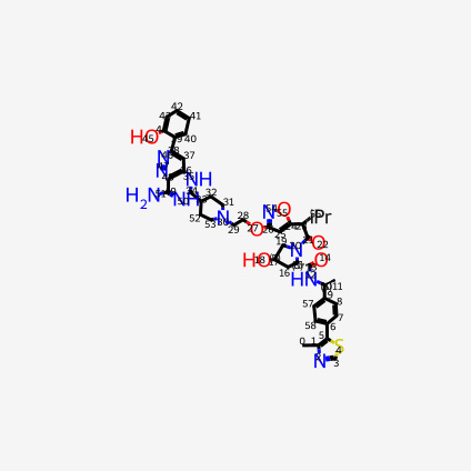 Cc1ncsc1-c1ccc([C@H](C)NC(=O)[C@@H]2C[C@@H](O)CN2C(=O)C(c2cc(OCCN3CCC(CNc4cc(-c5ccccc5O)nnc4C(=N)N)CC3)no2)C(C)C)cc1